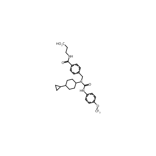 O=C(O)CCNC(=O)c1ccc(CN(C(=O)Nc2ccc(OC(F)(F)F)cc2)C2CCC(C3CC3)CC2)cc1